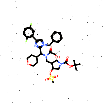 C[C@H](O)C(=O)N(CC1CN(C(=O)OC(C)(C)C)CC1OS(C)(=O)=O)C(c1nc(-c2cc(F)ccc2F)cn1Cc1ccccc1)C1CCOCC1